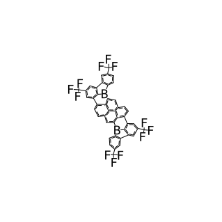 FC(F)(F)c1ccc2c(c1)-c1cc(C(F)(F)F)cc3c1B2c1cc2ccc4c5c(cc6ccc-3c1c6c25)B1c2ccc(C(F)(F)F)cc2-c2cc(C(F)(F)F)cc-4c21